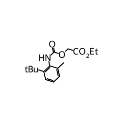 CCOC(=O)COC(=O)Nc1c(C)cccc1C(C)(C)C